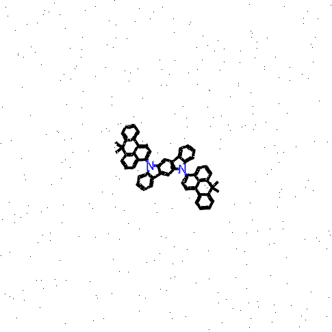 CC1(C)c2ccccc2-c2ccc(-n3c4ccccc4c4cc5c(cc43)c3ccccc3n5-c3ccc4c5c(cccc35)C(C)(C)c3ccccc3-4)c3cccc1c23